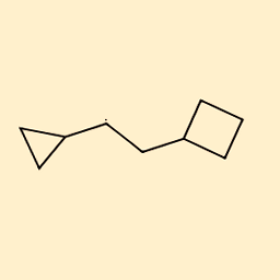 [CH](CC1CCC1)C1CC1